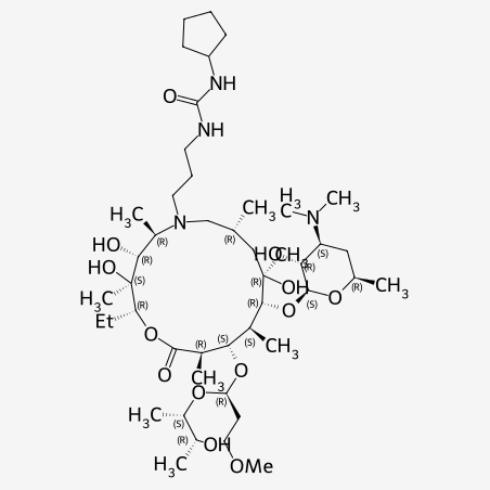 CC[C@H]1OC(=O)[C@H](C)[C@@H](O[C@@H](CCOC)O[C@@H](C)[C@@H](C)O)[C@H](C)[C@@H](O[C@@H]2O[C@H](C)C[C@H](N(C)C)[C@H]2O)[C@](C)(O)C[C@@H](C)CN(CCCNC(=O)NC2CCCC2)[C@H](C)[C@@H](O)[C@]1(C)O